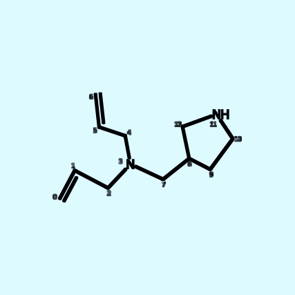 C=CCN(CC=C)CC1CCNC1